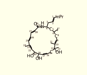 CCC/C=C/CC1CC(I)C/C=C(\C)C(C)(O)C/C=C\C(O)C(O)\C=C(C)/C=C/C=C/C(=O)N1